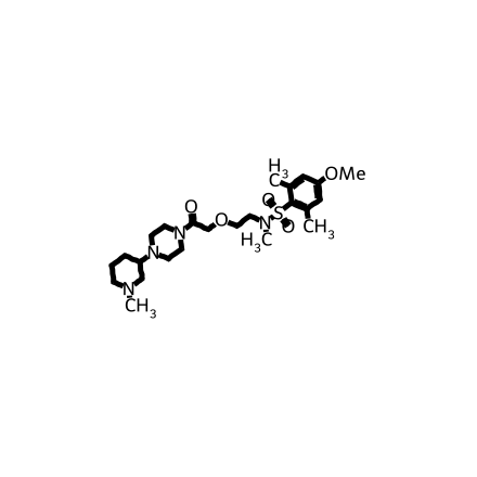 COc1cc(C)c(S(=O)(=O)N(C)CCOCC(=O)N2CCN(C3CCCN(C)C3)CC2)c(C)c1